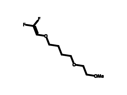 COCCOCCCCOC=C(F)F